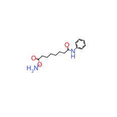 NOC(=O)CCCCCCC(=O)Nc1ccccc1